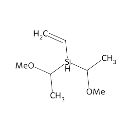 C=C[SiH](C(C)OC)C(C)OC